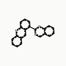 c1ccc2nc(-c3cccc4nc5ccccc5cc34)ncc2c1